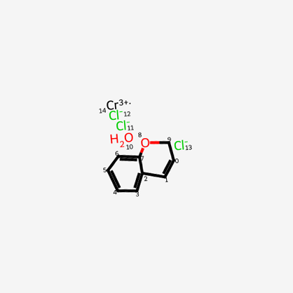 C1=Cc2ccccc2OC1.O.[Cl-].[Cl-].[Cl-].[Cr+3]